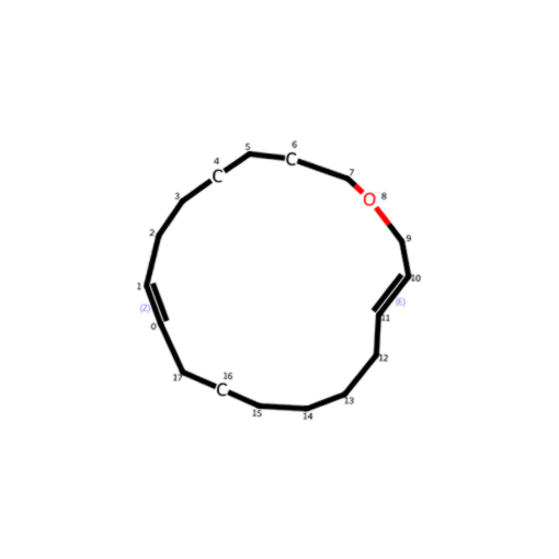 C1=C\CCCCCCOC/C=C/CCCCCC/1